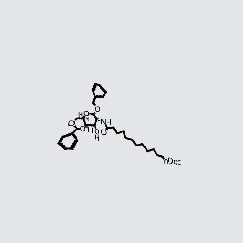 CCCCCCCCCCCCCCCCCCCCCC(=O)N[C@H]1[C@@H](OCc2ccccc2)O[C@@H]2COC(c3ccccc3)O[C@H]2[C@@H]1O